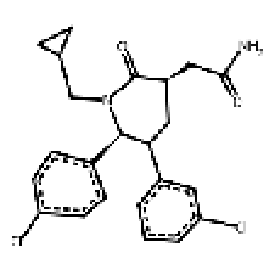 NC(=O)C[C@H]1CC(c2cccc(Cl)c2)[C@@H](c2ccc(Cl)cc2)N(CC2CC2)C1=O